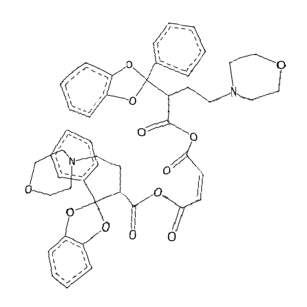 O=C(/C=C\C(=O)OC(=O)C(CCN1CCOCC1)C1(c2ccccc2)Oc2ccccc2O1)OC(=O)C(CCN1CCOCC1)C1(c2ccccc2)Oc2ccccc2O1